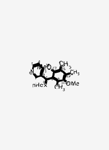 CCCCCCC(c1cccnc1)c1c(C)c(OC)c(C)c(C)c1OC